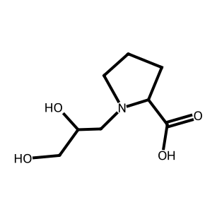 O=C(O)C1CCCN1CC(O)CO